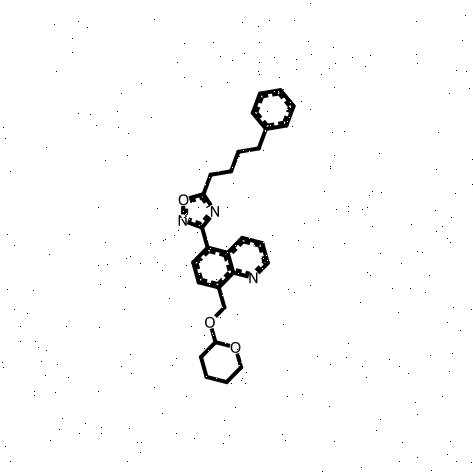 c1ccc(CCCCc2nc(-c3ccc(COC4CCCCO4)c4ncccc34)no2)cc1